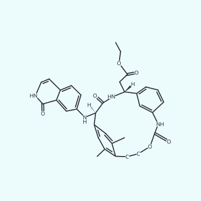 CCOC(=O)C[C@H]1NC(=O)[C@H](Nc2ccc3cc[nH]c(=O)c3c2)c2cc(C)c(c(C)c2)CCOC(=O)Nc2cccc1c2